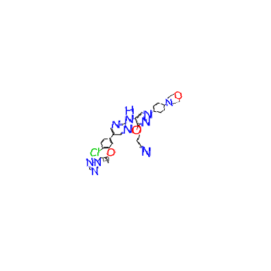 C[C@@H](Cn1cncn1)Oc1cc(-c2cnc(Nc3cn([C@H]4CC[C@H](N5CCOCC5)CC4)nc3OCCC#N)nc2)ccc1Cl